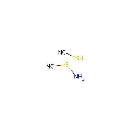 N#CS.N#CSN